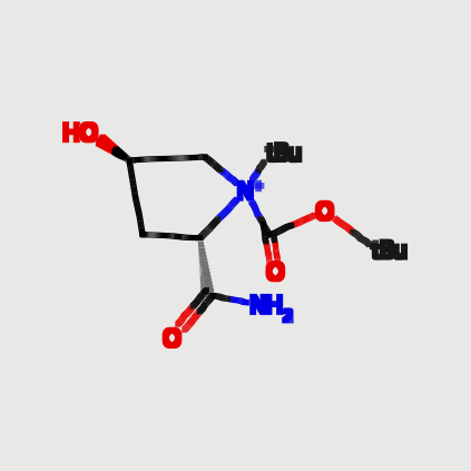 CC(C)(C)OC(=O)[N+]1(C(C)(C)C)C[C@H](O)C[C@H]1C(N)=O